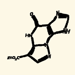 CCOC(=O)c1cnn2c1[nH]c(=O)c1nc[nH]c12